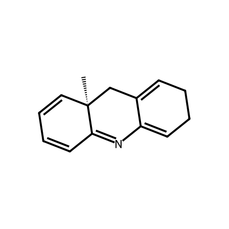 C[C@@]12C=CC=CC1=NC1=CCCC=C1C2